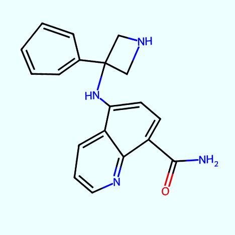 NC(=O)c1ccc(NC2(c3ccccc3)CNC2)c2cccnc12